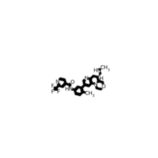 CNC[C@@H]1Cc2ncc(-c3cc(NC(=O)c4ccnc(C(F)(F)F)c4)ccc3C)cc2N2CCOC[C@@H]12